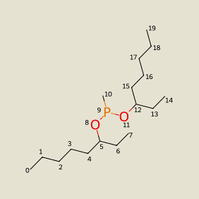 CCCCCC(CC)OP(C)OC(CC)CCCCC